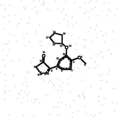 COc1ccc(C2=NSCC2=O)cc1OC1CCCC1